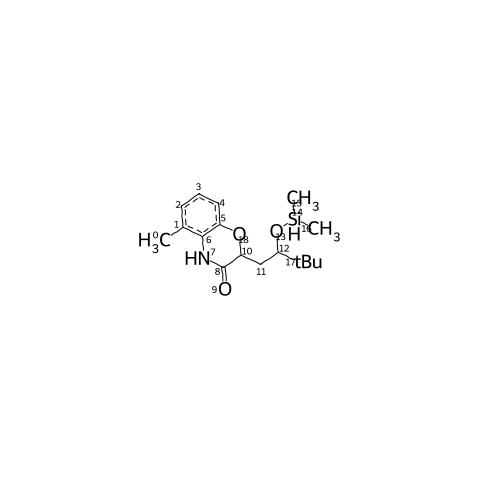 Cc1cccc2c1NC(=O)C(CC(O[SiH](C)C)C(C)(C)C)O2